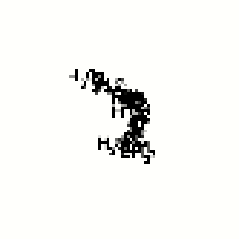 COC(=O)CCC(=O)NC12CC3CC(C1)C1(OOC4(CCN(C(=O)OC(C)(C)C)CC4)O1)C(C3)C2